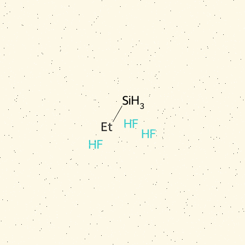 CC[SiH3].F.F.F